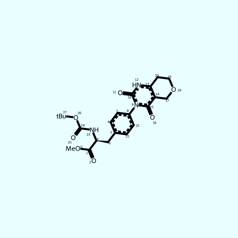 COC(=O)[C@H](Cc1ccc(-n2c(=O)[nH]c3c(c2=O)COCC3)cc1)NC(=O)OC(C)(C)C